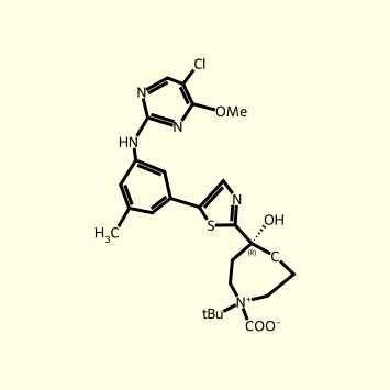 COc1nc(Nc2cc(C)cc(-c3cnc([C@@]4(O)CCC[N+](C(=O)[O-])(C(C)(C)C)CC4)s3)c2)ncc1Cl